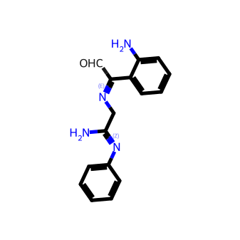 N/C(C/N=C(/C=O)c1ccccc1N)=N\c1ccccc1